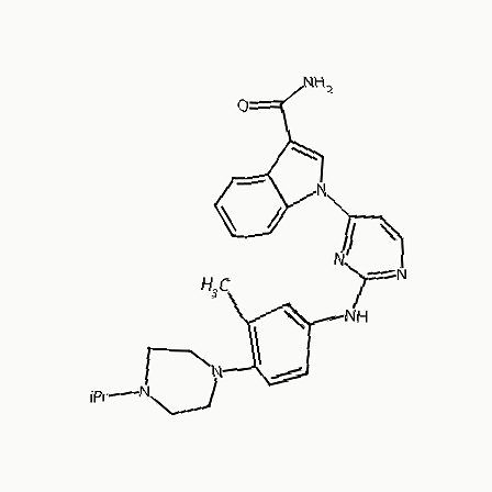 Cc1cc(Nc2nccc(-n3cc(C(N)=O)c4ccccc43)n2)ccc1N1CCN(C(C)C)CC1